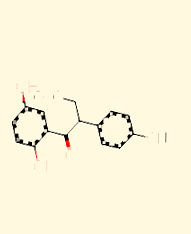 Cc1ccc(C(CC(=O)O)C(=O)c2cc(O)ccc2O)cc1